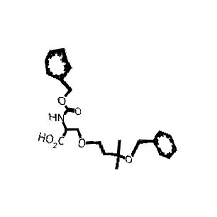 CC(C)(CCOCC(NC(=O)OCc1ccccc1)C(=O)O)OCc1ccccc1